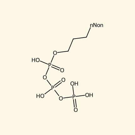 CCCCCCCCCCCCOP(=O)(O)OP(=O)(O)OP(=O)(O)O